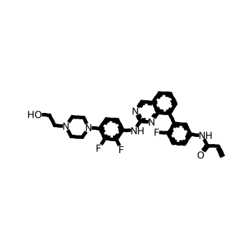 C=CC(=O)Nc1ccc(F)c(-c2cccc3cnc(Nc4ccc(N5CCN(CCO)CC5)c(F)c4F)nc23)c1